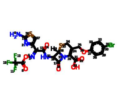 Nc1nc(C(=NOC(=O)C(F)(F)F)C(=O)NC2C(=O)N3C(C(=O)O)=C(COc4ccc(Br)cc4)CS[C@@H]23)cs1